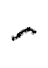 C=C(C)C(=O)OCOc1ccc(CC(=O)OCOC(=O)Cc2ccc(OCOC(=O)C(=C)C)c(C)c2C)c(C)c1C